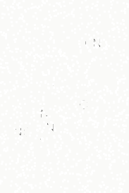 Cc1cc(Oc2cn(C(C)(C)C#N)nc2C2CC2)cc(C)c1C#N